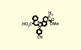 COC(=O)N1c2ccc3c(nc(CC(C(=O)O)c4ccccc4)n3-c3ccc(C#N)cc3)c2CC[C@@H]1C